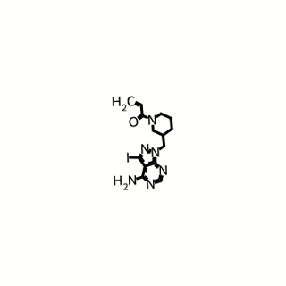 C=CC(=O)N1CCCC(Cn2nc(I)c3c(N)ncnc32)C1